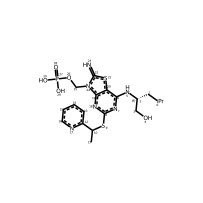 CC(C)C[C@H](CO)Nc1nc(SC(C)c2ccccn2)nc2c1sc(=N)n2COP(=O)(O)O